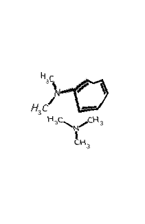 CN(C)C.CN(C)c1ccccc1